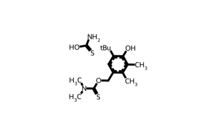 Cc1c(COC(=S)N(C)C)cc(C(C)(C)C)c(O)c1C.NC(O)=S